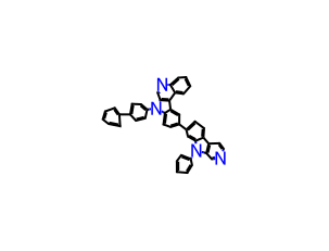 c1ccc(-c2ccc(-n3c4ccc(-c5ccc6c7ccncc7n(-c7ccccc7)c6c5)cc4c4c5ccccc5ncc43)cc2)cc1